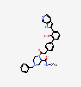 CONC(=O)C1CN(Cc2ccccc2)CCN1C(=O)Cc1ccc(-c2cccc(-c3cc4ccncc4[nH]3)c2O)cc1